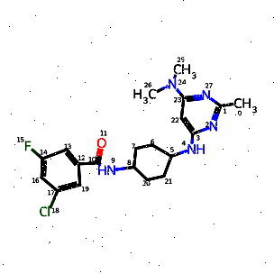 Cc1nc(NC2CCC(NC(=O)c3cc(F)cc(Cl)c3)CC2)cc(N(C)C)n1